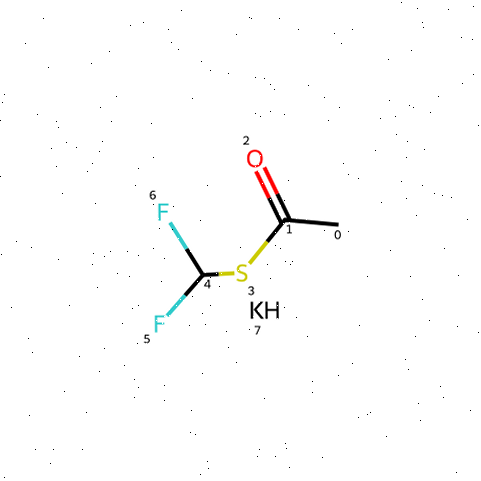 CC(=O)SC(F)F.[KH]